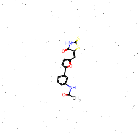 CC(=O)Nc1cccc(-c2ccc(/C=C3/SC(=S)NC3=O)o2)c1